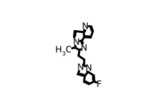 CC1C(CCc2ncc3ccc(F)cc3n2)N=C2c3cccnc3C=CN21